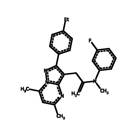 C=C(Cc1c(-c2ccc(CC)cc2)nn2c(C)cc(C)nc12)N(C)c1cccc(F)c1